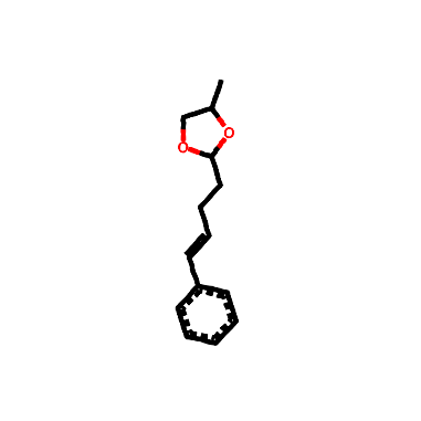 CC1COC(CCC=Cc2ccccc2)O1